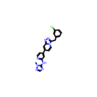 Cn1ncnc1Nc1cc(-c2ccn3c(Cc4cccc(Cl)c4)nnc3c2)ccn1